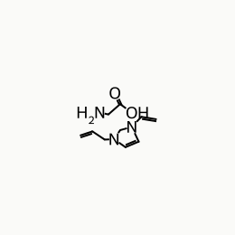 C=CCN1C=CN(C=C)C1.NCC(=O)O